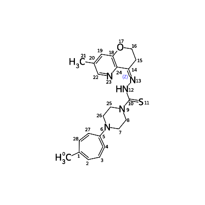 CC1=CC=C=C(N2CCN(C(=S)N/N=C3/CCOc4cc(C)cnc43)CC2)C=C1